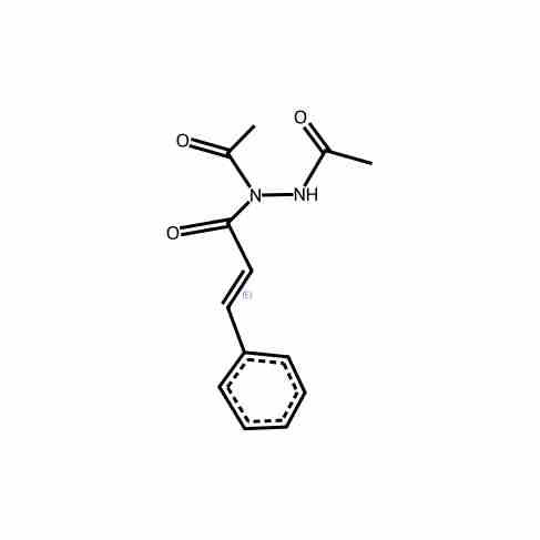 CC(=O)NN(C(C)=O)C(=O)/C=C/c1ccccc1